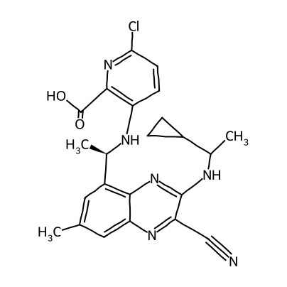 Cc1cc([C@@H](C)Nc2ccc(Cl)nc2C(=O)O)c2nc(NC(C)C3CC3)c(C#N)nc2c1